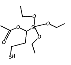 CCO[Si](OCC)(OCC)C(CCS)OC(C)=O